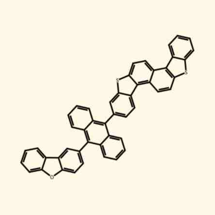 c1ccc2c(c1)oc1ccc(-c3c4ccccc4c(-c4ccc5c(c4)sc4ccc6c(ccc7sc8ccccc8c76)c45)c4ccccc34)cc12